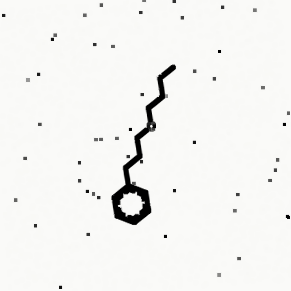 CC[CH]COCCCc1ccccc1